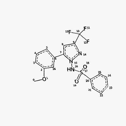 COc1cccc(-c2cc(C(F)(F)F)nn2NS(=O)(=O)c2ccccc2)c1